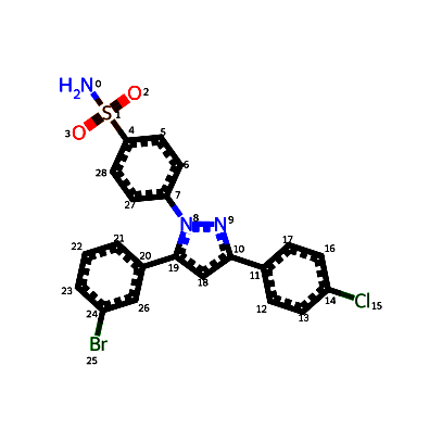 NS(=O)(=O)c1ccc(-n2nc(-c3ccc(Cl)cc3)cc2-c2cccc(Br)c2)cc1